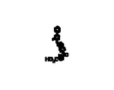 Cc1cc(-c2ccccc2)ccc1CN1CCC2(CCN(C(=O)n3ccc(C(=O)O)n3)CC2)C1